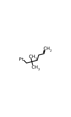 C=CCCC(C)(C)[CH2][Pt]